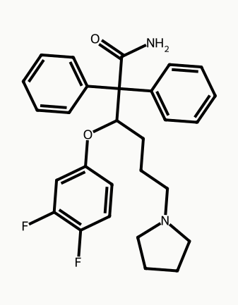 NC(=O)C(c1ccccc1)(c1ccccc1)C(CCCN1CCCC1)Oc1ccc(F)c(F)c1